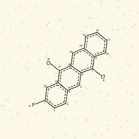 Fc1ccc2cc3c(Cl)c4ccccc4cc3c(Cl)c2c1